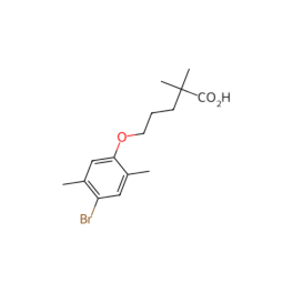 Cc1cc(OCCCC(C)(C)C(=O)O)c(C)cc1Br